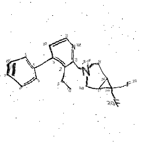 CCc1c(-c2ccccc2)ccnc1N1CC2C(C1)C2(F)F